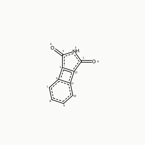 O=c1[nH]c(=O)c2c3ccccc3c1=2